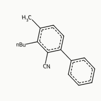 CCCCc1c(C)ccc(-c2ccccc2)c1C#N